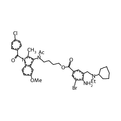 CCN(Cc1cc(C(=O)OCCCCN(C(C)=O)c2c(C)n(C(=O)c3ccc(Cl)cc3)c3ccc(OC)cc23)cc(Br)c1N)C1CCCCC1